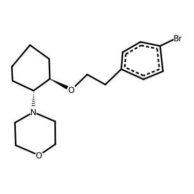 Brc1ccc(CCO[C@@H]2CCCC[C@H]2N2CCOCC2)cc1